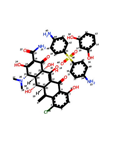 C=C1c2c(Cl)ccc(O)c2C(=O)C2=C(O)[C@]3(O)C(=O)C(C(N)=O)=C(O)[C@@H](N(C)C)[C@@H]3[C@@H](O)[C@H]12.Nc1ccc(S(=O)(=O)c2ccc(N)cc2)cc1.Oc1cccc(O)c1